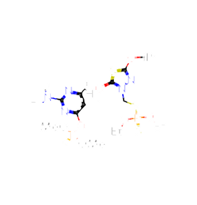 CCN(CC)c1nc(C)cc(OP(=S)(OC)OC)n1.CCOP(=S)(OCC)SCn1nc(OC(C)C)sc1=O